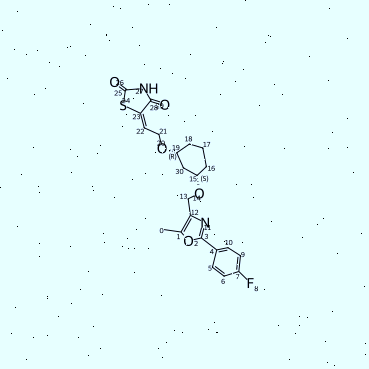 Cc1oc(-c2ccc(F)cc2)nc1CO[C@H]1CCC[C@@H](OCC=C2SC(=O)NC2=O)C1